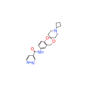 O=C(Nc1ccc2c(c1)COC1(CCN(C3CCC3)CC1)O2)c1ccnnc1